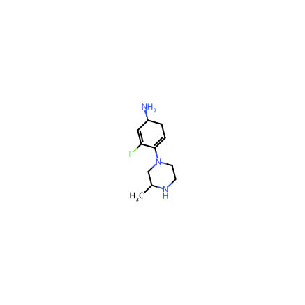 CC1CN(C2=CC[C@H](N)C=C2F)CCN1